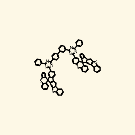 c1ccc(-c2nc(-c3cccc(-c4ccc(-c5nc(-c6ccccc6)nc(-c6ccc7c(c6)C6(c8ccccc8Sc8ccccc86)c6cc8sc9ccccc9c8cc6-7)n5)cc4)c3)nc(-c3ccc4c(c3)C3(c5ccccc5S4)c4ccccc4-c4cc5sc6ccccc6c5cc43)n2)cc1